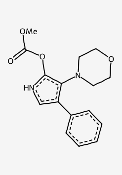 COC(=O)Oc1[nH]cc(-c2ccccc2)c1N1CCOCC1